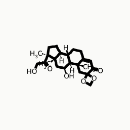 C[C@]12CC3(OCO3)C(=O)C=C1CC[C@@H]1[C@@H]2[C@@H](O)C[C@@]2(C)[C@H]1CC[C@]2(C)C(=O)CO